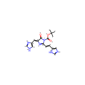 CC(C)(C)OC(=O)N1C(=O)/C(=C/c2c[nH]cn2)N=C1/C=C/c1cnc[nH]1